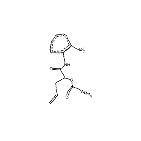 C=CCC(OC(N)=O)C(=O)Nc1ccccc1N